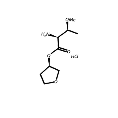 CO[C@@H](C)[C@H](N)C(=O)O[C@@H]1CCOC1.Cl